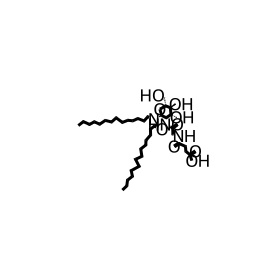 CCCCCCCCCCCCCCN(C(=O)CCCCCCCCCCCCC)[C@@H]1O[C@H](CO)[C@@H](O)[C@H](O)[C@H]1NC(=O)CNC(=O)CCC(=O)O